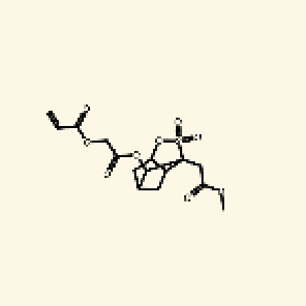 C=CC(=O)OCC(=O)OC1C2CC3OS(=O)(=O)C1(CC(=O)OC)C3C2